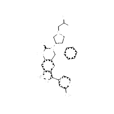 Cc1cc(-c2n[nH]c3cc4c(cc23)CN([C@H]2CN(CC(F)F)C[C@@H]2c2ccccc2)C(=O)N4)ccn1